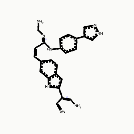 N=C/C(=C\N)c1cc2ccc(/C=C\C(=N/CN)Nc3ccc(-c4cn[nH]c4)cc3)cc2[nH]1